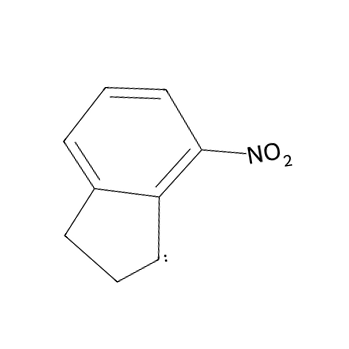 O=[N+]([O-])c1cccc2c1[C]CC2